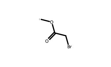 [CH]OC(=O)CBr